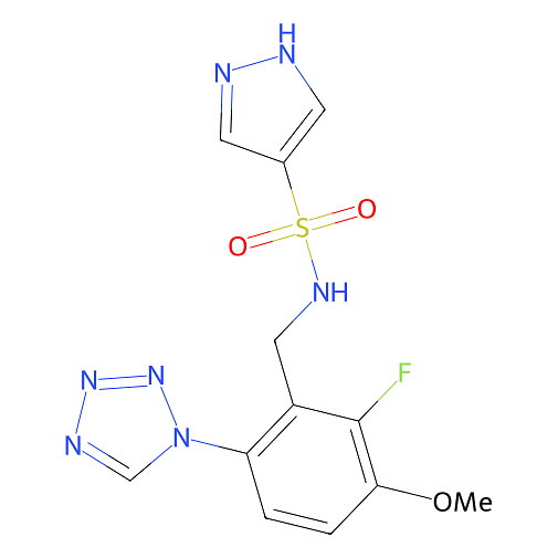 COc1ccc(-n2cnnn2)c(CNS(=O)(=O)c2cn[nH]c2)c1F